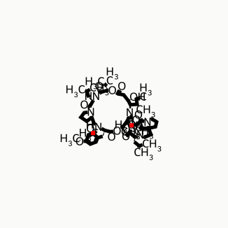 CC[C@H](C)[C@H]1NC(=O)[C@@H](NC(=O)[C@@H](CC(C)C)N2CCC3(CCCN3C(=O)C(C)C)C2=O)[C@@H](C)OC(=O)[C@H](Cc2ccc(OC)cc2)N(C)C(=O)[C@@H]2CCCN2C(=O)[C@H](CC(C)C)NC(=O)[C@H](C(C)C)OC(=O)C[C@@H]1O